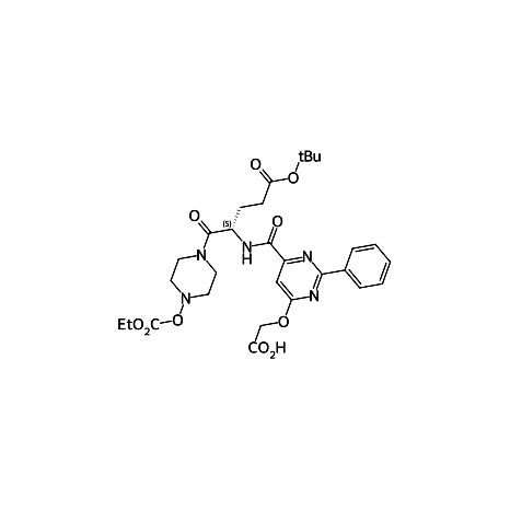 CCOC(=O)ON1CCN(C(=O)[C@H](CCC(=O)OC(C)(C)C)NC(=O)c2cc(OCC(=O)O)nc(-c3ccccc3)n2)CC1